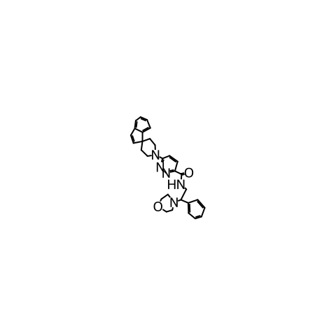 O=C(NCC(c1ccccc1)N1CCOCC1)c1ccc(N2CCC3(C=Cc4ccccc43)CC2)nn1